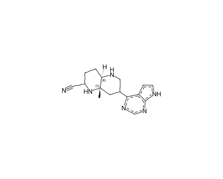 C[C@]12CC(c3ncnc4[nH]ccc34)CN[C@@H]1CCC(C#N)N2